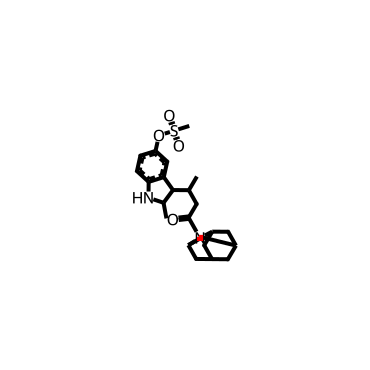 CC(CC(=O)N1C2CC3CC(C2)CC1C3)C1c2cc(OS(C)(=O)=O)ccc2NC1C